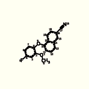 COc1cc(F)ccc1Oc1cccc2cc(C#N)ccc12